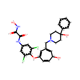 O=C(NO)C(=O)Nc1cc(Cl)c(OC2=CC(CN3CCC(O)(c4ccccc4)CC3)=CC(O)C=C2)c(Cl)c1